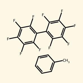 Cc1ccccc1.Fc1c(F)c(F)c(-c2c(F)c(F)c(F)c(F)c2F)c(F)c1F